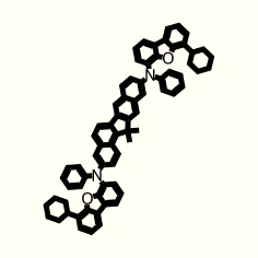 CC1(C)c2cc3cc(N(c4ccccc4)c4cccc5c4oc4c(C6CCCCC6)cccc45)ccc3cc2-c2ccc3cc(N(c4ccccc4)c4cccc5c4oc4c(C6CCCCC6)cccc45)ccc3c21